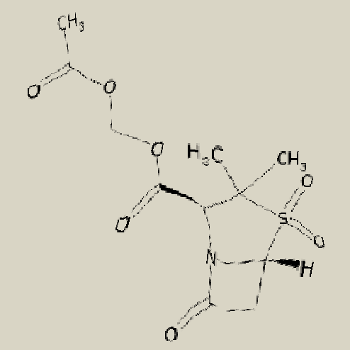 CC(=O)OCOC(=O)[C@@H]1N2C(=O)C[C@H]2S(=O)(=O)C1(C)C